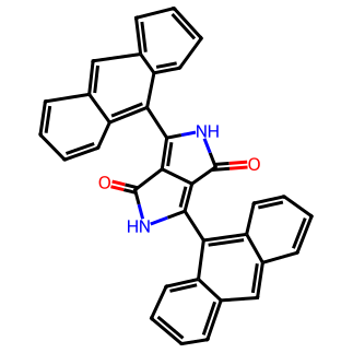 O=C1NC(c2c3ccccc3cc3ccccc23)=C2C(=O)NC(c3c4ccccc4cc4ccccc34)=C12